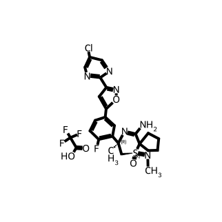 CN=[S@@]1(=O)C[C@@](C)(c2cc(-c3cc(-c4ncc(Cl)cn4)no3)ccc2F)N=C(N)C12CCCC2.O=C(O)C(F)(F)F